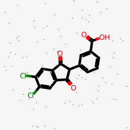 O=C(O)c1cccc(C2C(=O)c3cc(Cl)c(Cl)cc3C2=O)c1